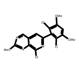 CCc1nc(-c2c(Cl)c(OC)cc(OC)c2Cl)cc2cnc(SC)nc12